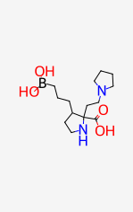 O=C(O)C1(CCN2CCCC2)NCCC1CCCB(O)O